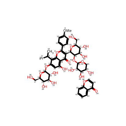 COc1ccc(-c2oc3c(C(C)C(C)C)c(O[C@@H]4O[C@H](CO)[C@@H](O)[C@H](O)[C@H]4O)cc(O)c3c(=O)c2[C@H]2O[C@@H](CO)[C@H](O)[C@@H](O)[C@H]2O[C@H]2OC[C@H](O)[C@@H](O)[C@@H]2O)cc1.O=c1ccoc2ccccc12